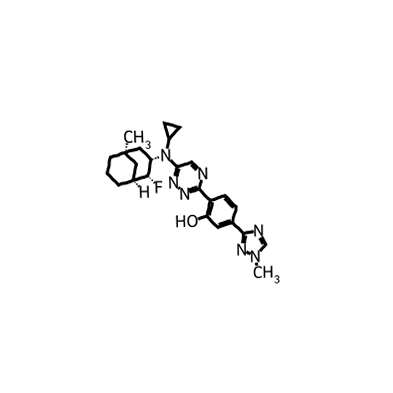 Cn1cnc(-c2ccc(-c3ncc(N(C4CC4)[C@H]4C[C@]5(C)CCC[C@@H](C5)[C@H]4F)nn3)c(O)c2)n1